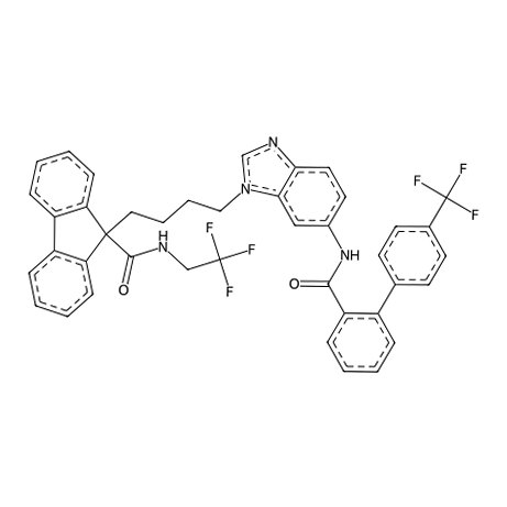 O=C(Nc1ccc2ncn(CCCCC3(C(=O)NCC(F)(F)F)c4ccccc4-c4ccccc43)c2c1)c1ccccc1-c1ccc(C(F)(F)F)cc1